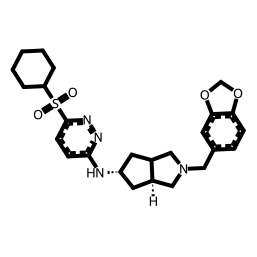 O=S(=O)(c1ccc(N[C@@H]2CC3CN(Cc4ccc5c(c4)OCO5)C[C@H]3C2)nn1)C1CCCCC1